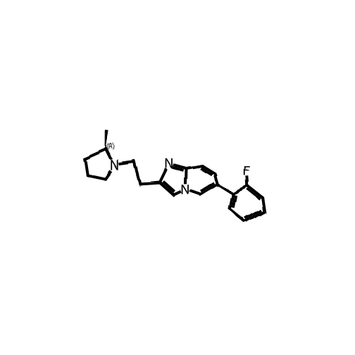 C[C@@H]1CCCN1CCc1cn2cc(-c3ccccc3F)ccc2n1